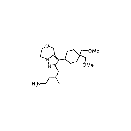 COCC1(COC)CCC(c2c(CN(C)CCN)nn3c2COCC3)CC1